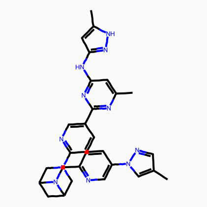 Cc1cnn(-c2ccc(CN3C4CC3CN(c3ccc(-c5nc(C)cc(Nc6cc(C)[nH]n6)n5)cn3)C4)nc2)c1